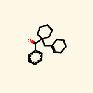 O=C(c1ccccc1)C1(CC2=CCCCC2)CCCCC1